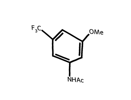 COc1cc(NC(C)=O)cc(C(F)(F)F)c1